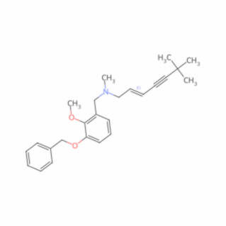 COc1c(CN(C)C/C=C/C#CC(C)(C)C)cccc1OCc1ccccc1